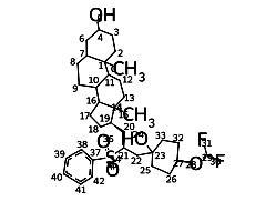 CC12CCC(O)CC1CCC1C2CCC2(C)C1CC[C@@H]2CC(CC1(O)CCC(OC(F)F)CC1)S(=O)(=O)c1ccccc1